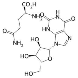 NC(=O)CC[C@H](N)C(=O)O.O=c1[nH]c(=O)c2ncn([C@@H]3O[C@H](CO)[C@@H](O)[C@H]3O)c2[nH]1